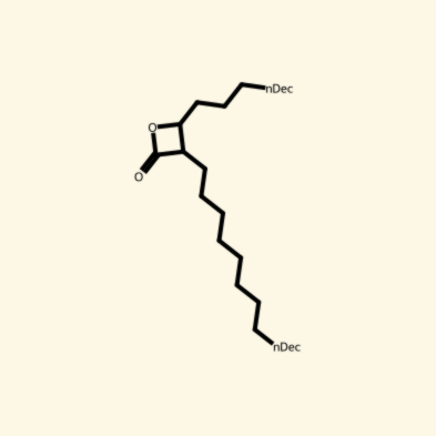 CCCCCCCCCCCCCCCCCCC1C(=O)OC1CCCCCCCCCCCCC